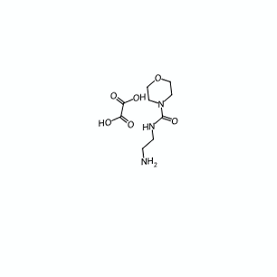 NCCNC(=O)N1CCOCC1.O=C(O)C(=O)O